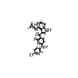 CCc1ccc(Nc2ccc(C(=O)c3c[nH]c4ncnc(NC5CC5)c34)c(F)n2)cn1